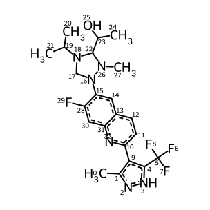 Cc1n[nH]c(C(F)(F)F)c1-c1ccc2cc(N3CN(C(C)C)C(C(C)O)N3C)c(F)cc2n1